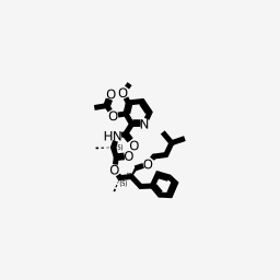 COc1ccnc(C(=O)N[C@@H](C)C(=O)O[C@@H](C)[C@@H](COCCC(C)C)Cc2ccccc2)c1OC(C)=O